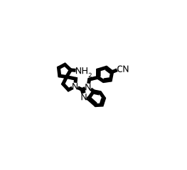 N#Cc1ccc(Cn2c(N3CCC4(CCCC4N)C3)nc3ccccc32)cc1